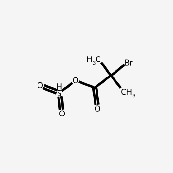 CC(C)(Br)C(=O)O[SH](=O)=O